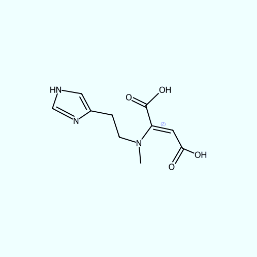 CN(CCc1c[nH]cn1)/C(=C\C(=O)O)C(=O)O